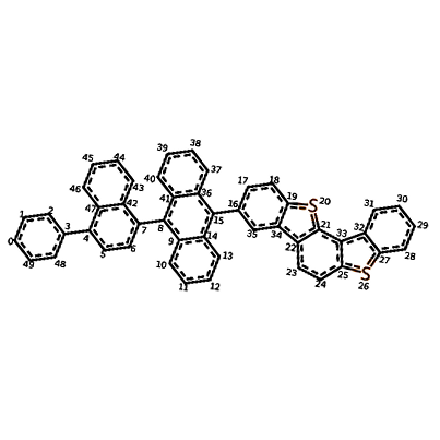 c1ccc(-c2ccc(-c3c4ccccc4c(-c4ccc5sc6c(ccc7sc8ccccc8c76)c5c4)c4ccccc34)c3ccccc23)cc1